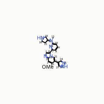 COc1cc2ncc(-c3cccc(N(C)C4CCNC4)n3)n2cc1-c1cn[nH]c1